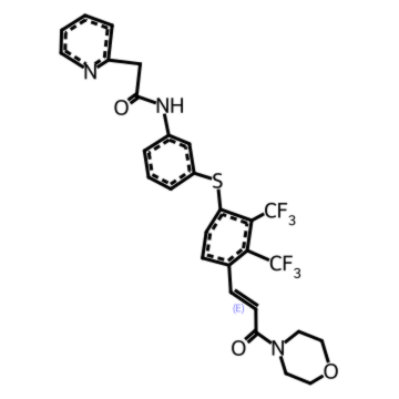 O=C(Cc1ccccn1)Nc1cccc(Sc2ccc(/C=C/C(=O)N3CCOCC3)c(C(F)(F)F)c2C(F)(F)F)c1